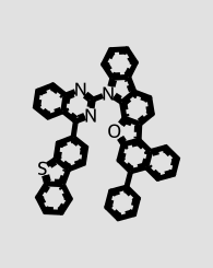 c1ccc(-c2cc3oc4c(ccc5c6ccccc6n(-c6nc(-c7ccc8c(c7)sc7ccccc78)c7ccccc7n6)c54)c3c3ccccc23)cc1